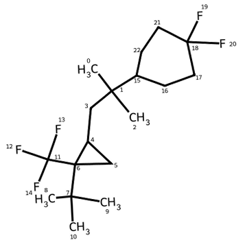 CC(C)(CC1CC1(C(C)(C)C)C(F)(F)F)C1CCC(F)(F)CC1